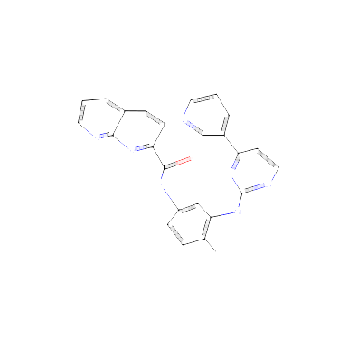 Cc1ccc(NC(=O)c2ccc3cccnc3n2)cc1Nc1nccc(-c2cccnc2)n1